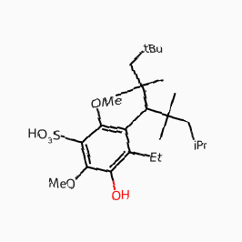 CCc1c(O)c(OC)c(S(=O)(=O)O)c(OC)c1C(C(C)(C)CC(C)C)C(C)(C)CC(C)(C)C